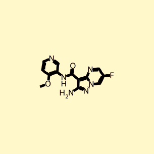 COc1ccncc1NC(=O)c1c(N)nn2cc(F)cnc12